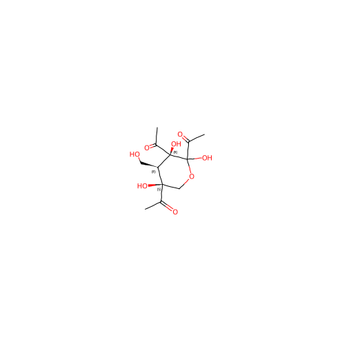 CC(=O)C1(O)OC[C@](O)(C(C)=O)[C@@H](CO)[C@]1(O)C(C)=O